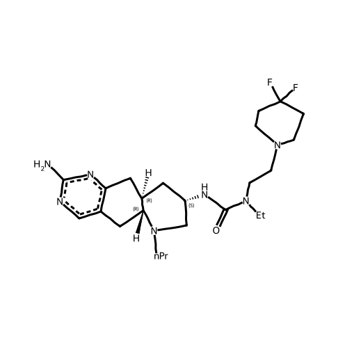 CCCN1C[C@@H](NC(=O)N(CC)CCN2CCC(F)(F)CC2)C[C@@H]2Cc3nc(N)ncc3C[C@H]21